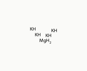 [KH].[KH].[KH].[KH].[MgH2]